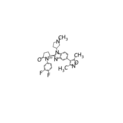 Cc1noc(C)c1-c1ccc2c(c1)nc([C@@H]1CCC(=O)N1c1ccc(F)c(F)c1)n2C1CCN(C)C1